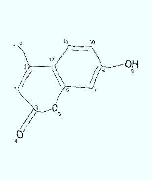 [CH2]c1cc(=O)oc2cc(O)ccc12